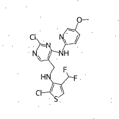 COc1ccc(Nc2nc(Cl)ncc2CNc2c(C(F)F)csc2Cl)nc1